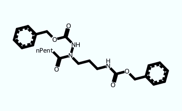 CCCCCC(=O)N(CCCNC(=O)OCc1ccccc1)NC(=O)OCc1ccccc1